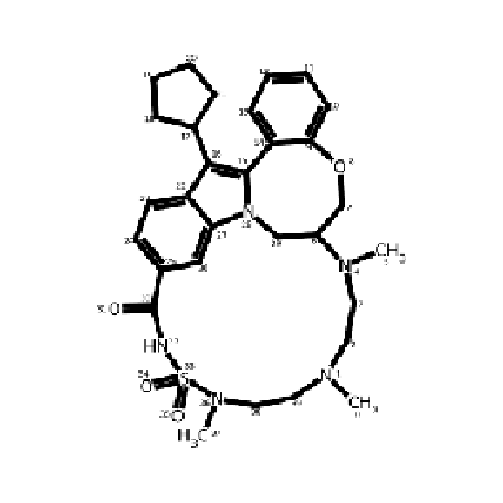 CN1CCN(C)C2COc3ccccc3-c3c(C4CCCC4)c4ccc(cc4n3C2)C(=O)NS(=O)(=O)N(C)CC1